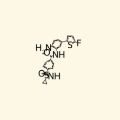 N=[S@](=O)(c1ccc(C(=O)Nc2cc(-c3ccc(F)s3)ccc2N)cc1)C1CC1